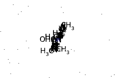 Cc1cn2nc(/C(=N/c3ccc(C4CCN(C)CC4)cc3C)NC=O)cc2c(C)n1